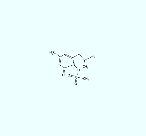 Cc1cc(CC(C)C(C)(C)C)n(OS(C)(=O)=O)c(=O)c1